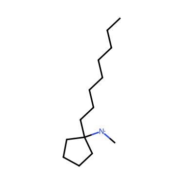 CCCCCCCCC1([N]C)CCCC1